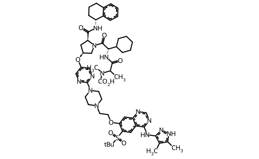 Cc1[nH]nc(Nc2ncnc3cc(OCCN4CCN(c5ncc(O[C@H]6C[C@@H](C(=O)N[C@@H]7CCCc8ccccc87)N(C(=O)[C@@H](NC(=O)C(C)N(C)C(=O)O)C7CCCCC7)C6)cn5)CC4)c(S(=O)(=O)C(C)(C)C)cc23)c1C